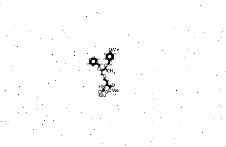 COC(=O)C(CCOC[C@@H](OCc1ccccc1)[C@H](C)OCc1ccc(OC)cc1)NC(=O)OC(C)(C)C